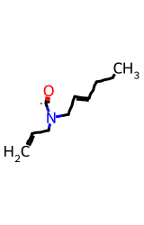 C=CCN([C]=O)CC=CCCC